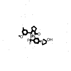 COc1cc(C)cc(-c2nn(-c3cc(N4CC[C@H](O)C4)ccc3C(F)(F)F)c(=O)c3c2CCC3)c1